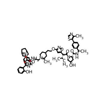 Cc1ncsc1-c1ccc([C@H](C)NC(=O)[C@@H]2C[C@@H](O)CN2C(=O)[C@@H](c2cc(OCCC3CCN(CCOc4cc(N5C6CCC5CN(c5cc(-c7ccccc7O)nnc5N)C6)ccn4)[C@H](C)C3)no2)C(C)C)cc1